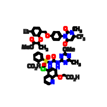 CCc1ccc(COc2ccc(-n3c(=O)cc(C(F)(F)F)n(C)c3=O)cc2)c(OC(C)C(=O)OC)c1.COc1nc(C)nc(NC(=O)NS(=O)(=O)c2ccccc2C(=O)O)n1.O=C(O)COc1ccc(Cl)c2cccnc12